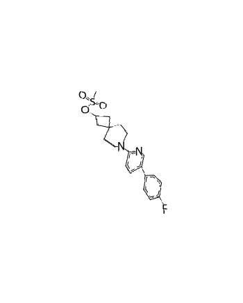 CS(=O)(=O)OC1CC2(CCN(c3ccc(-c4ccc(F)cc4)cn3)CC2)C1